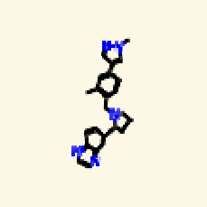 Cc1cc(-c2cnn(C)c2)ccc1CN1CCCC1c1ccc2nccnc2c1